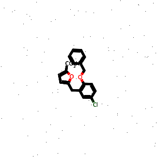 O=C(O)c1ccc(Cc2cc(Cl)ccc2OCc2ccccc2)o1